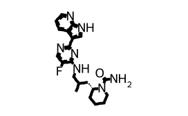 CC(CNc1nc(-c2c[nH]c3ncccc23)ncc1F)C[C@H]1CCCCN1C(N)=O